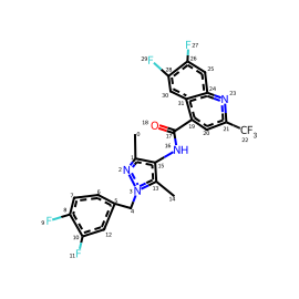 Cc1nn(Cc2ccc(F)c(F)c2)c(C)c1NC(=O)c1cc(C(F)(F)F)nc2cc(F)c(F)cc12